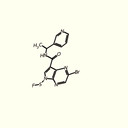 CC(NC(=O)c1cn(SF)c2ncc(Br)nc12)c1cccnc1